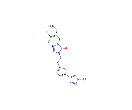 CCn1cc(-c2ccc(CCn3cnn(CC(CN)=C(F)F)c3=O)s2)cn1